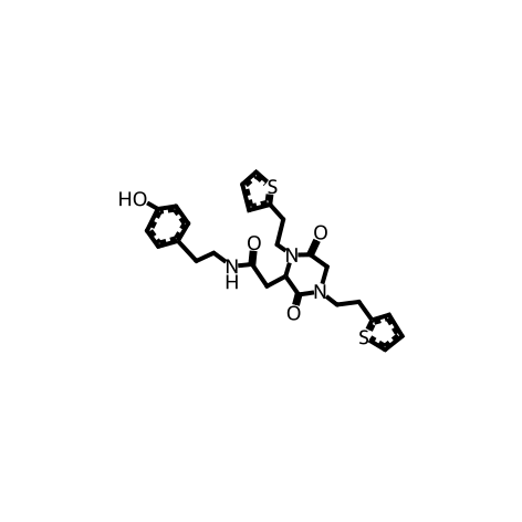 O=C(CC1C(=O)N(CCc2cccs2)CC(=O)N1CCc1cccs1)NCCc1ccc(O)cc1